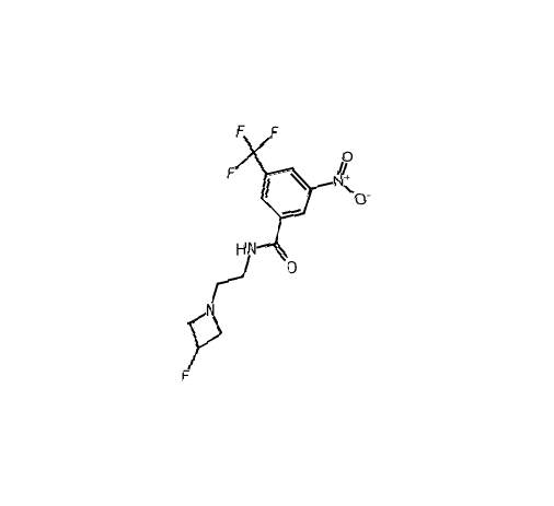 O=C(NCCN1CC(F)C1)c1cc([N+](=O)[O-])cc(C(F)(F)F)c1